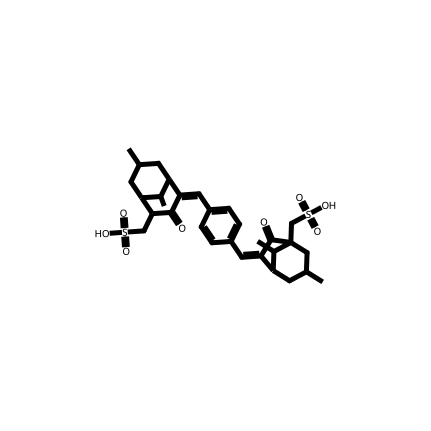 CC1CC2/C(=C/c3ccc(/C=C4\C(=O)C5(CS(=O)(=O)O)CC(C)CC4C5C)cc3)C(=O)C(CS(=O)(=O)O)C(C1)C2C